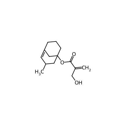 C=C(CO)C(=O)OC12CCCC(=CC(C)C1)C2